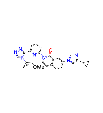 COC[C@@H](C)n1cnnc1-c1cccc(-n2ccc3ccc(-n4cnc(C5CC5)c4)cc3c2=O)n1